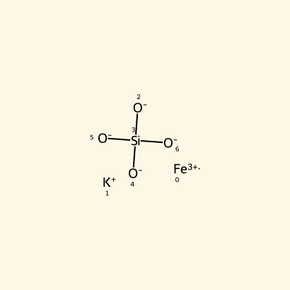 [Fe+3].[K+].[O-][Si]([O-])([O-])[O-]